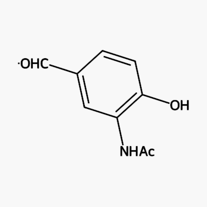 CC(=O)Nc1cc([C]=O)ccc1O